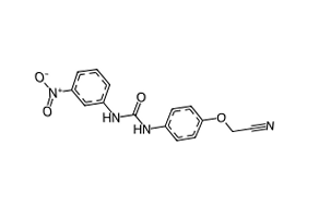 N#CCOc1ccc(NC(=O)Nc2cccc([N+](=O)[O-])c2)cc1